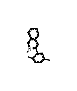 Cc1ccc(C)c(-c2cc3ccccc3c[n+]2C)c1